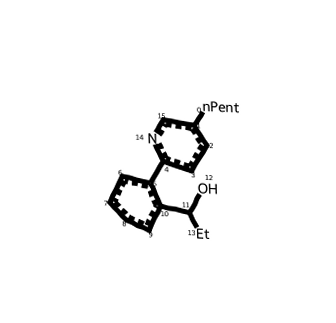 CCCCCc1ccc(-c2ccccc2C(O)CC)nc1